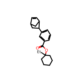 CCC1(OC(=O)c2cccc(C3CC4C=CC3C4)c2)CCCCC1